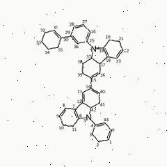 C1=CCCC(N2C3=C(C=CCC3)C3=CC(C4=CC5C6=C(CCC=C6)N(c6cccc(C7=CCCCC7)c6)C5CC4)=CCC32)=C1